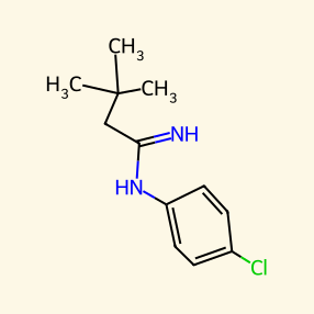 CC(C)(C)CC(=N)Nc1ccc(Cl)cc1